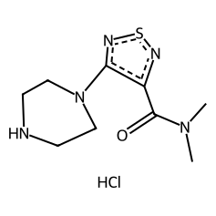 CN(C)C(=O)c1nsnc1N1CCNCC1.Cl